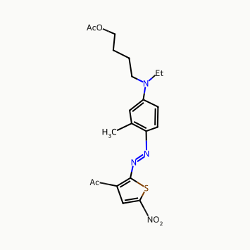 CCN(CCCCOC(C)=O)c1ccc(N=Nc2sc([N+](=O)[O-])cc2C(C)=O)c(C)c1